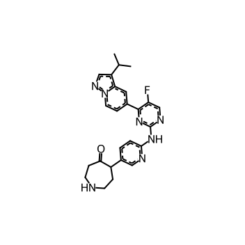 CC(C)c1cnn2ccc(-c3nc(Nc4ccc(C5CCNCCC5=O)cn4)ncc3F)cc12